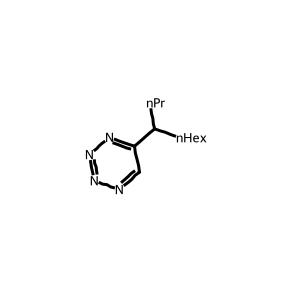 CCCCCCC(CCC)c1cnnnn1